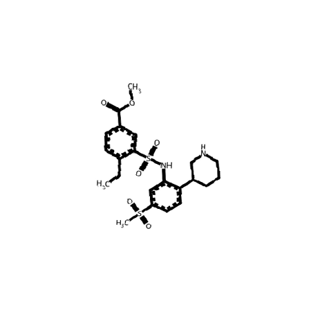 CCc1ccc(C(=O)OC)cc1S(=O)(=O)Nc1cc(S(C)(=O)=O)ccc1C1CCCNC1